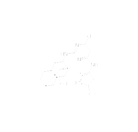 Cc1cc(Nc2cc(Cl)nc(NC3CC4CCC5CC3CC4(O)C5)n2)n[nH]1